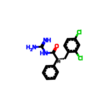 N=C(N)NC(=O)[C@H](Cc1ccc(Cl)cc1Cl)c1ccccc1